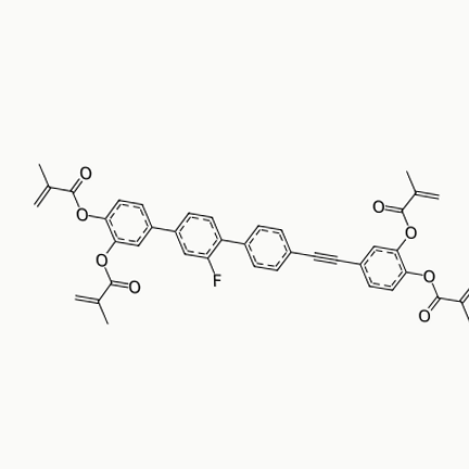 C=C(C)C(=O)Oc1ccc(C#Cc2ccc(-c3ccc(-c4ccc(OC(=O)C(=C)C)c(OC(=O)C(=C)C)c4)cc3F)cc2)cc1OC(=O)C(=C)C